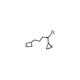 [CH2]CC(CCCC1CCC1)C1CC1